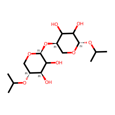 CC(C)O[C@@H]1OC[C@@H](O[C@@H]2OC[C@@H](OC(C)C)[C@H](O)C2O)C(O)C1O